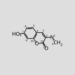 C=Nc1cc2ccc(O)cc2oc1=O